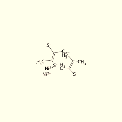 C/C([S-])=C(/C)[S-].C/C([S-])=C(/C)[S-].[Ni+2].[Ni+2]